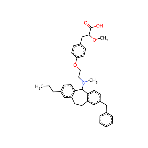 CCCc1ccc2c(c1)CCc1cc(Cc3ccccc3)ccc1C2N(C)CCOc1ccc(CC(OC)C(=O)O)cc1